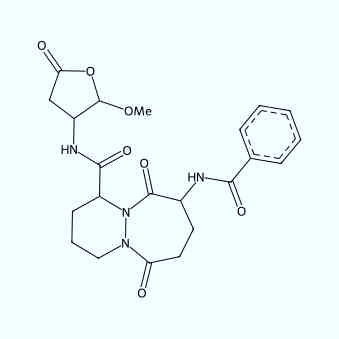 COC1OC(=O)CC1NC(=O)C1CCCN2C(=O)CCC(NC(=O)c3ccccc3)C(=O)N12